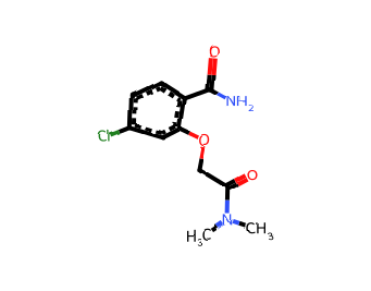 CN(C)C(=O)COc1cc(Cl)ccc1C(N)=O